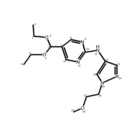 CCOC(OCC)c1cnc(Nc2cnn(CCOC)c2)nc1